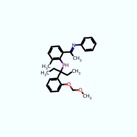 CCC(CC)(Pc1c(C)cccc1/C(C)=N/c1ccccc1)c1ccccc1OCOC